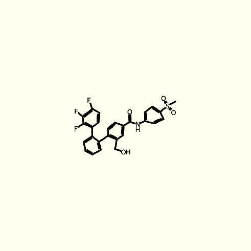 CS(=O)(=O)c1ccc(NC(=O)c2ccc(-c3ccccc3-c3ccc(F)c(F)c3F)c(CO)c2)cc1